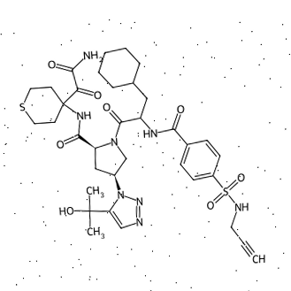 C#CCNS(=O)(=O)c1ccc(C(=O)NC(CC2CCCCC2)C(=O)N2C[C@@H](n3nncc3C(C)(C)O)C[C@H]2C(=O)NC2(C(=O)C(N)=O)CCSCC2)cc1